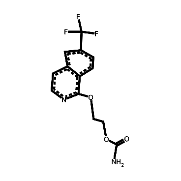 NC(=O)OCCOc1nccc2cc(C(F)(F)F)ccc12